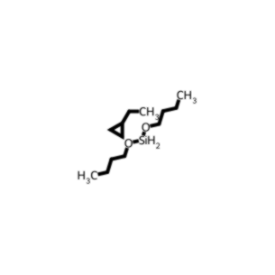 CCC1CC1.CCCCO[SiH2]OCCCC